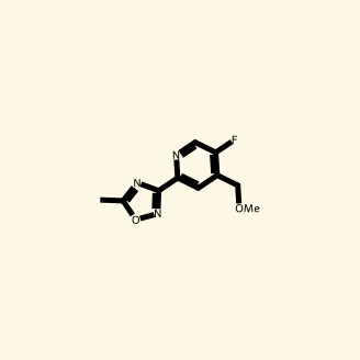 COCc1cc(-c2noc(C)n2)ncc1F